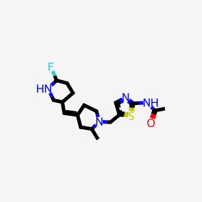 CC(=O)Nc1ncc(CN2CCC(=CC3CCC(F)NC3)CC2C)s1